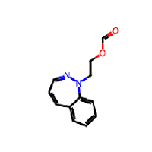 O=COCCN1N=CC=Cc2ccccc21